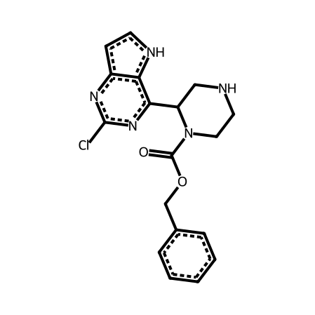 O=C(OCc1ccccc1)N1CCNCC1c1nc(Cl)nc2cc[nH]c12